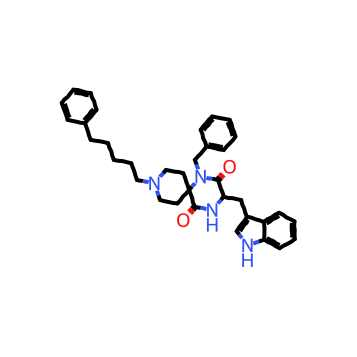 O=C1C(Cc2c[nH]c3ccccc23)NC(=O)C2(CCN(CCCCCc3ccccc3)CC2)N1Cc1ccccc1